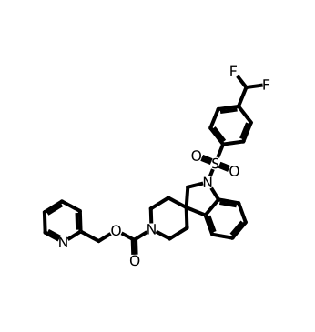 O=C(OCc1ccccn1)N1CCC2(CC1)CN(S(=O)(=O)c1ccc(C(F)F)cc1)c1ccccc12